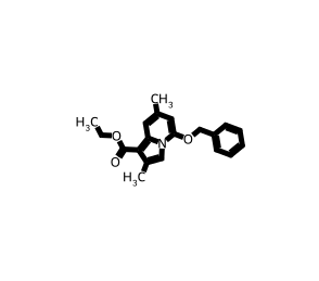 CCOC(=O)c1c(C)cn2c(OCc3ccccc3)cc(C)cc12